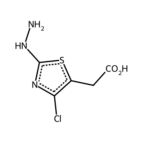 NNc1nc(Cl)c(CC(=O)O)s1